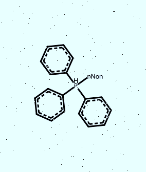 [CH2]CCCCCCCC[PH](c1ccccc1)(c1ccccc1)c1ccccc1